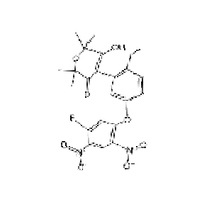 CCc1ccc(Oc2cc(F)c([N+](=O)[O-])cc2[N+](=O)[O-])cc1C1=C(O)C(C)(C)OC(C)(C)C1=O